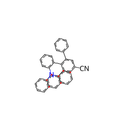 N#Cc1cc(-c2ccccc2)c(-c2ccccc2N(c2ccccc2)c2ccccc2)c(-c2ccccc2)c1